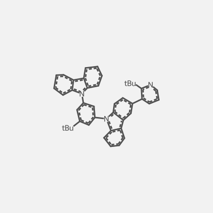 CC(C)(C)c1cc(-n2c3ccccc3c3ccccc32)cc(-n2c3ccccc3c3cc(-c4cccnc4C(C)(C)C)ccc32)c1